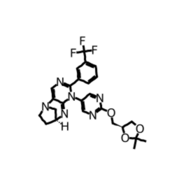 CC1(C)OC[C@H](COc2ncc(N3C4=N[C@H]5CCN(C5)C4=CN=C3c3cccc(C(F)(F)F)c3)cn2)O1